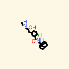 CCNC[C@@H](O)Cc1ccc(Cl)c(C(=O)NCC23CC4CC(CC(C4)C2)C3)c1